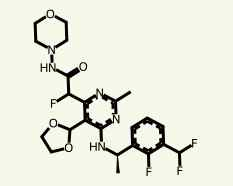 Cc1nc(N[C@H](C)c2cccc(C(F)F)c2F)c(C2OCCO2)c(C(F)C(=O)NN2CCOCC2)n1